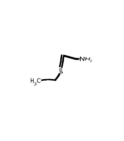 CC/B=C\N